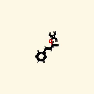 C=C(C=Cc1ccccc1)O[Si](C)(C)C